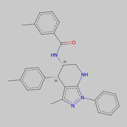 Cc1ccc([C@H]2c3c(C)nn(-c4ccccc4)c3NC[C@H]2NC(=O)c2cccc(C)c2)cc1